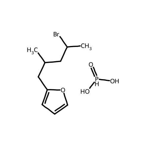 CC(Br)CC(C)Cc1ccco1.O=[PH](O)O